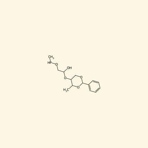 CPOCC(O)OC1COC(c2ccccc2)OC1C